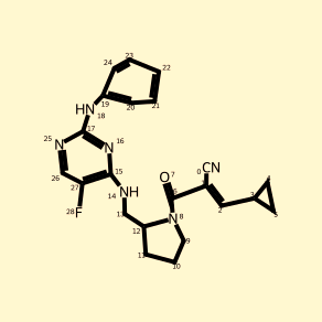 N#CC(=CC1CC1)C(=O)N1CCCC1CNc1nc(Nc2ccccc2)ncc1F